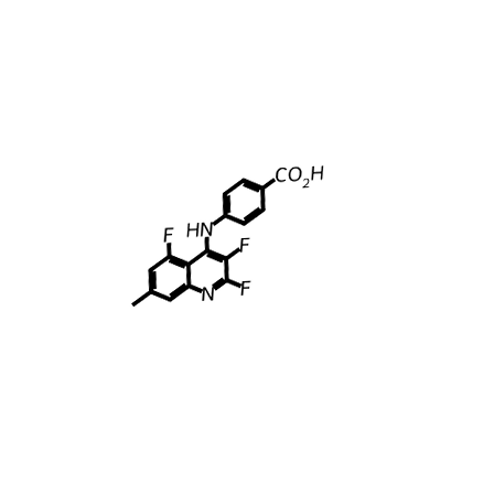 Cc1cc(F)c2c(Nc3ccc(C(=O)O)cc3)c(F)c(F)nc2c1